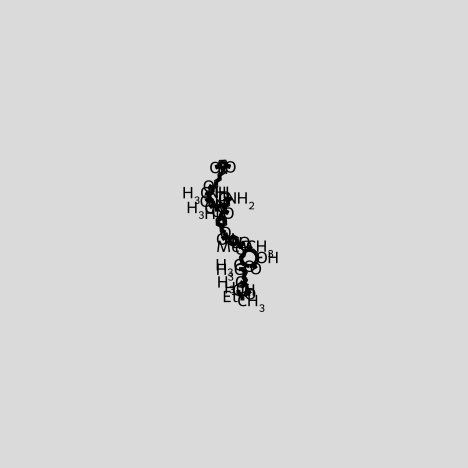 CCC(O)C(C)[C@H]1O[C@@H]1CC(C)(O)/C=C/C=C(\C)[C@H]1OC(=O)C[C@H](O)CC[C@@](C)(OC)[C@@H](OC(=O)N2CCN(C(=O)OCc3ccc(NC(=O)C(CC(N)=O)NC(=O)C(C)NC(=O)C(C)NC(=O)CCCCCN4C(=O)C=CC4=O)cc3)CC2)/C=C/[C@@H]1C